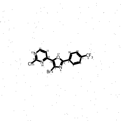 FC(F)(F)c1ccc(-c2nc(Br)c(-c3ccnc(Cl)n3)o2)cc1